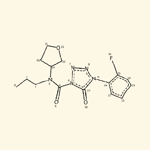 CCCN(C(=O)n1nnn(-c2ccccc2F)c1=O)C1CCOC1